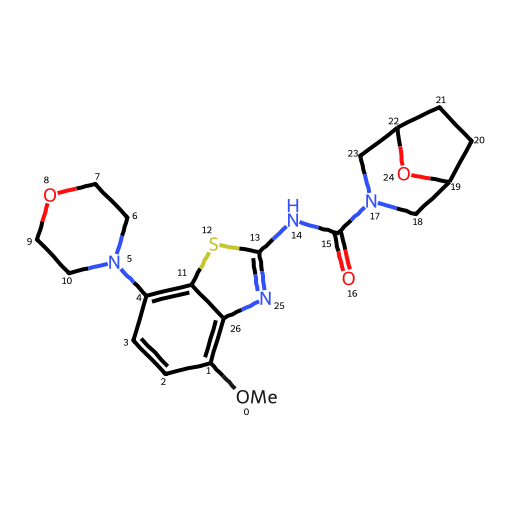 COc1ccc(N2CCOCC2)c2sc(NC(=O)N3CC4CCC(C3)O4)nc12